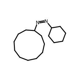 C1CCCCCC(/N=N\C2CCCCC2)CCCC1